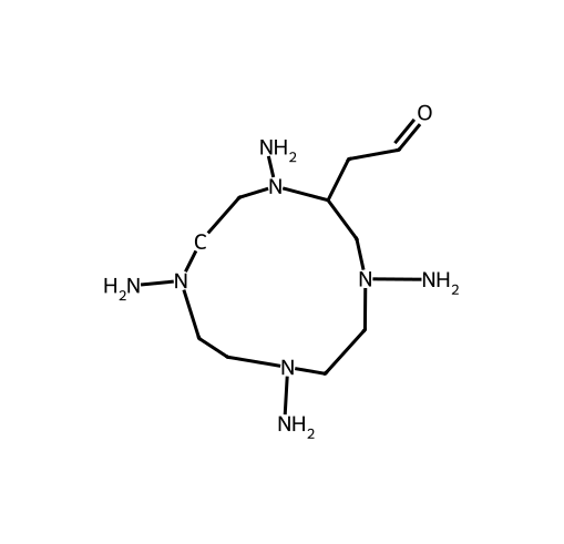 NN1CCN(N)CCN(N)C(CC=O)CN(N)CC1